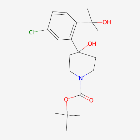 CC(C)(C)OC(=O)N1CCC(O)(c2cc(Cl)ccc2C(C)(C)O)CC1